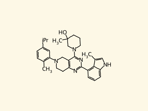 Cc1ccc(C(C)C)cc1N1CCc2nc(-c3cccc4[nH]cc(C)c34)nc(N3CCCC(C)(O)C3)c2C1